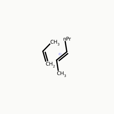 C/C=C/CCC.C=CC